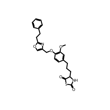 COc1cc(CCCC2NC(=O)SC2=O)ccc1OCc1coc(CCc2ccccc2)n1